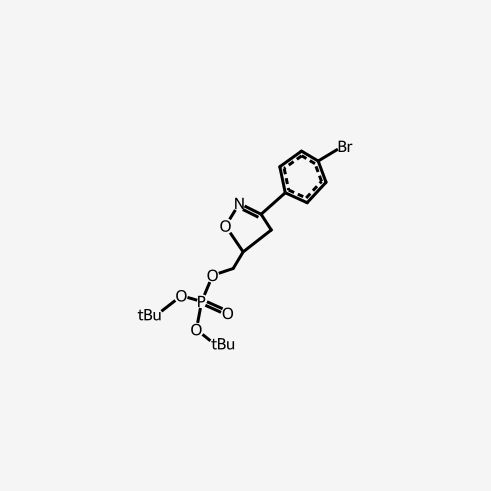 CC(C)(C)OP(=O)(OCC1CC(c2ccc(Br)cc2)=NO1)OC(C)(C)C